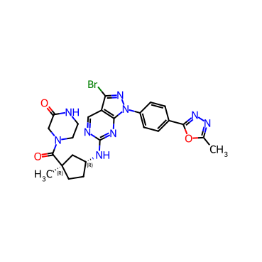 Cc1nnc(-c2ccc(-n3nc(Br)c4cnc(N[C@@H]5CC[C@@](C)(C(=O)N6CCNC(=O)C6)C5)nc43)cc2)o1